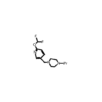 CC(C)N1CCN(Cc2ccc(OC(F)F)nc2)CC1